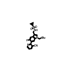 CC(C)(C)Cn1cc(CNS(=O)(=O)C2CC2)c2cc(F)c(-c3ncccc3C#N)cc21